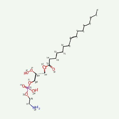 CCCCCCCCCCCCCCCC(=O)OC[C@H](COP(=O)(O)OCCN)OO